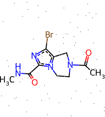 CNC(=O)c1nc(Br)c2n1CCN(C(C)=O)C2